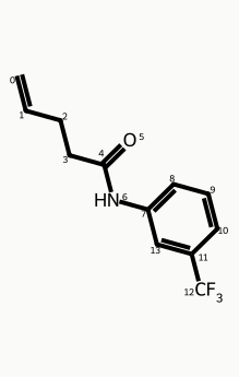 C=CCCC(=O)Nc1cccc(C(F)(F)F)c1